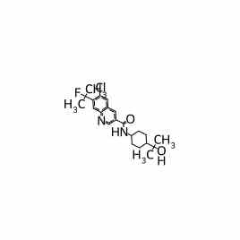 CC(C)(F)c1cc2ncc(C(=O)NC3CCC(C(C)(C)O)CC3)cc2cc1Cl